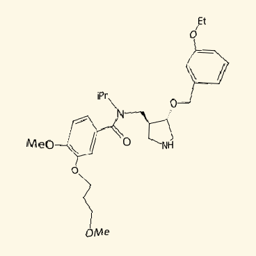 CCOc1cccc(CO[C@@H]2CNC[C@H]2CN(C(=O)c2ccc(OC)c(OCCCOC)c2)C(C)C)c1